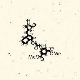 COC(=O)c1cc(NC(=O)COc2ccc(/C=C3\SC(=O)NC3=O)c3ccccc23)cc(C(=O)OC)c1